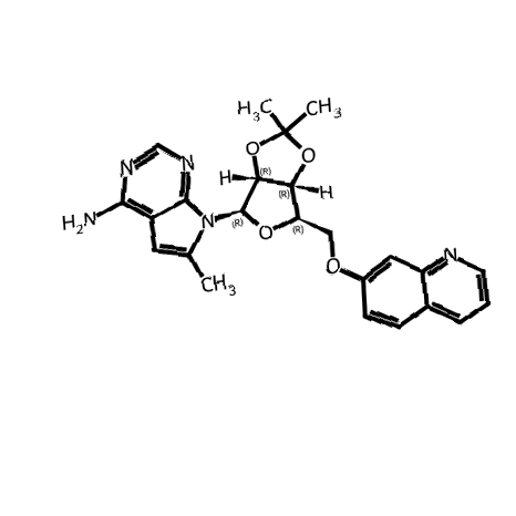 Cc1cc2c(N)ncnc2n1[C@@H]1O[C@H](COc2ccc3cccnc3c2)[C@H]2OC(C)(C)O[C@H]21